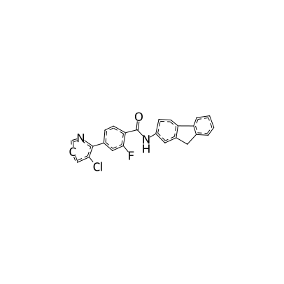 O=C(Nc1ccc2c(c1)Cc1ccccc1-2)c1ccc(-c2ncccc2Cl)cc1F